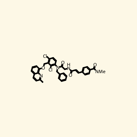 CNC(=O)c1ccc(C=CC(=O)NCC(=O)N(Cc2ccccc2)c2ccc(Cl)c(COc3cccc4ccc(C)nc34)c2Cl)cc1